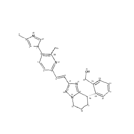 Cc1cn(-c2ccc(/C=C/c3nc4n(n3)CCC[C@H]4c3ccccc3CO)nc2C)cn1